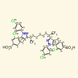 O=S(=O)(O)c1ccc2c(c1)Cc1c(C(CCCCCC(c3nn(-c4ccc(Cl)cc4Cl)c4c3Cc3cc(S(=O)(=O)O)ccc3-4)C(F)(F)F)C(F)(F)F)nn(-c3ccc(Cl)cc3Cl)c1-2